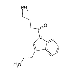 NCCCC(=O)n1cc(CCN)c2ccccc21